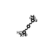 CCC(C)Oc1c(O)cc(/C=C/c2ccc(/C=C/c3cc(OC)c(OC(C)CC)c(OC)c3)cc2)cc1OC